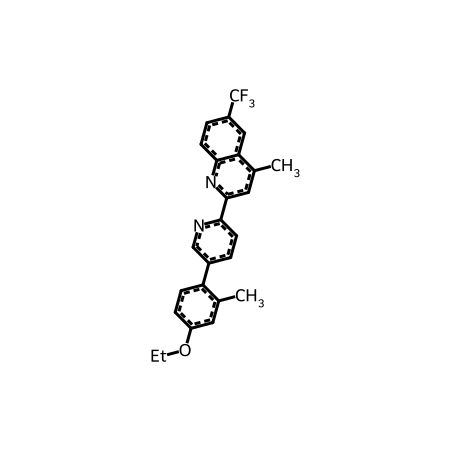 CCOc1ccc(-c2ccc(-c3cc(C)c4cc(C(F)(F)F)ccc4n3)nc2)c(C)c1